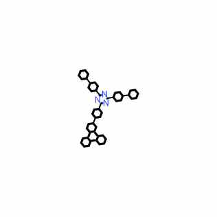 c1ccc(-c2ccc(-c3nc(-c4ccc(-c5ccccc5)cc4)nc(-c4ccc(-c5ccc6c7ccccc7c7ccccc7c6c5)cc4)n3)cc2)cc1